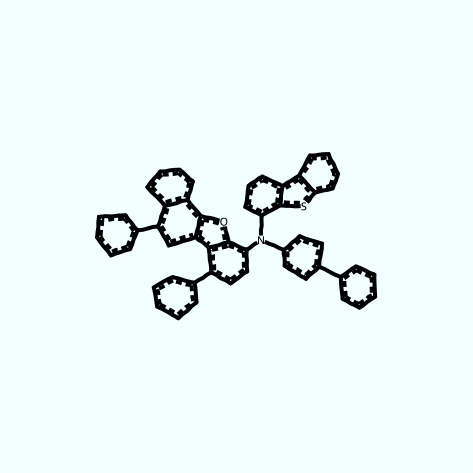 c1ccc(-c2ccc(N(c3ccc(-c4ccccc4)c4c3oc3c5ccccc5c(-c5ccccc5)cc34)c3cccc4c3sc3ccccc34)cc2)cc1